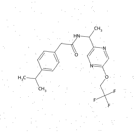 CC(C)c1ccc(CC(=O)NC(C)c2cnc(OCC(F)(F)F)cn2)cc1